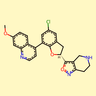 COc1ccc2c(-c3cc(Cl)cc4c3O[C@@H](c3onc5c3CNCC5)C4)ccnc2c1